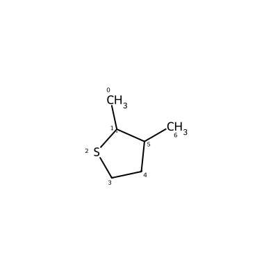 C[C]1SCCC1C